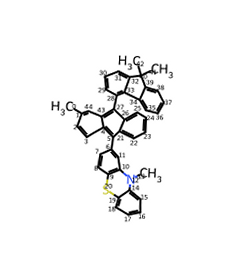 Cc1ccc2c(-c3ccc4c(c3)N(C)c3ccccc3S4)c3ccccc3c(-c3cccc4c3-c3ccccc3C4(C)C)c2c1